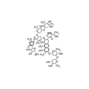 CO[C@H](C(=O)[C@@H](O)[C@@H](C)O)C1Cc2cc3cc(O[C@H]4C[C@@H](O[C@H]5C[C@@H](O)[C@H](O)[C@@H](C)O5)[C@@H](O)[C@@H](C)O4)c(C)c(O)c3c(O)c2C(=O)[C@H]1O[C@H]1C[C@@H](O[C@H]2C[C@@H](O[C@H]3C[C@](C)(O)[C@H](O)[C@@H](C)O3)[C@H](O)[C@@H](C)O2)[C@H](O)[C@@H](C)O1.Nc1ncn([C@@H]2O[C@H](CO)[C@@H](O)[C@H]2O)c(=O)n1